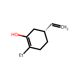 C=C[C@@H]1CCC(CC)=C(O)C1